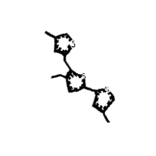 Cc1csc(-c2cc(C)c(-c3cc(C)cs3)s2)c1